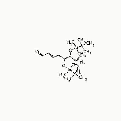 C=C[C@H](O[Si](C)(C)C(C)(C)C)[C@H](C/C=C/C=O)O[Si](C)(C)C(C)(C)C